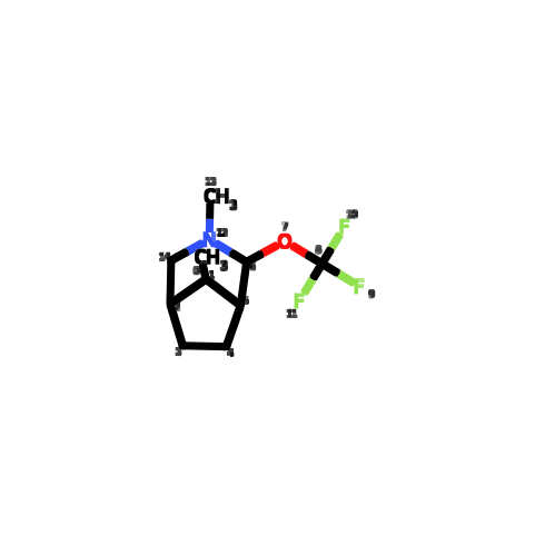 CC1C2CCC1C(OC(F)(F)F)N(C)C2